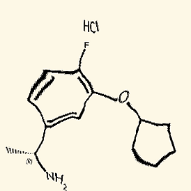 C[C@@H](N)c1ccc(F)c(OC2CCCC2)c1.Cl